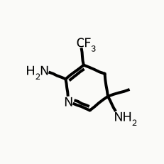 CC1(N)C=NC(N)=C(C(F)(F)F)C1